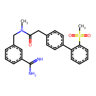 CN(Cc1cccc(C(=N)N)c1)C(=O)Cc1ccc(-c2ccccc2S(C)(=O)=O)cc1